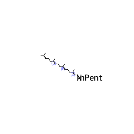 CCCCCN(C)C/C=C(\C)CC/C=C(\C)CC/C=C(\C)CCC=C(C)C